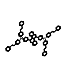 C(=Cc1ccc(N(c2ccc(C=Cc3ccccc3)cc2)c2ccc(-c3cc4ccccc4c4c(-c5ccc(N(c6ccc(C=Cc7ccccc7)cc6)c6ccc(C=Cc7ccccc7)cc6)cc5)cc5ccccc5c34)cc2)cc1)c1ccccc1